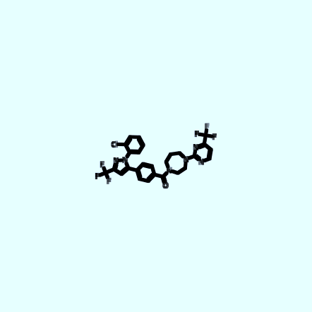 O=C(c1ccc(-c2cc(C(F)(F)F)nn2-c2ccccc2Cl)cc1)N1CCCN(c2nccc(C(F)(F)F)n2)CC1